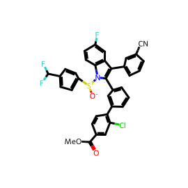 COC(=O)c1ccc(-c2cccc(-c3c(-c4cccc(C#N)c4)c4cc(F)ccc4n3[S+]([O-])c3ccc(C(F)F)cc3)c2)c(Cl)c1